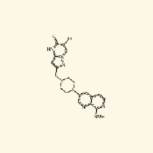 CCc1cn2nc(CN3CCN(c4cnc5c(NC)nccc5c4)CC3)cc2[nH]c1=O